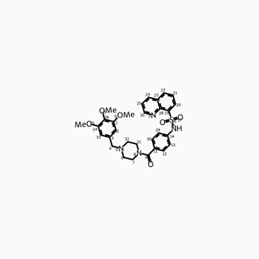 COc1cc(CN2CCN(C(=O)c3ccc(NS(=O)(=O)c4cccc5cccnc45)cc3)CC2)cc(OC)c1OC